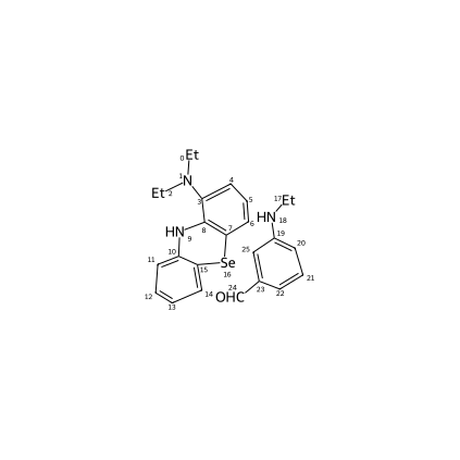 CCN(CC)c1cccc2c1Nc1ccccc1[Se]2.CCNc1cccc(C=O)c1